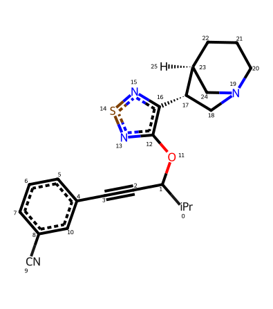 CC(C)C(C#Cc1cccc(C#N)c1)Oc1nsnc1[C@H]1CN2CCC[C@H]1C2